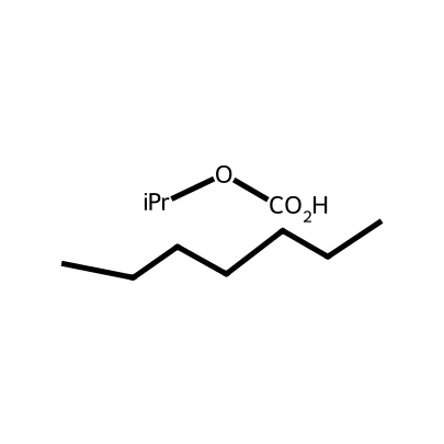 CC(C)OC(=O)O.CCCCCCC